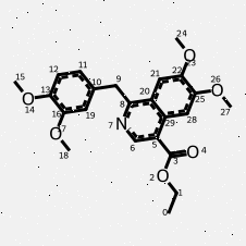 CCOC(=O)c1cnc(Cc2ccc(OC)c(OC)c2)c2cc(OC)c(OC)cc12